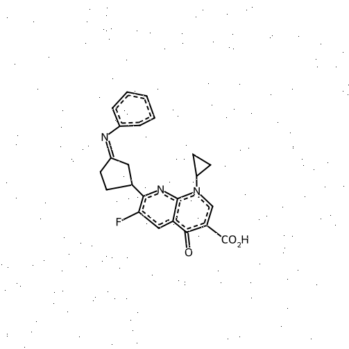 O=C(O)c1cn(C2CC2)c2nc(C3CC/C(=N/c4ccccc4)C3)c(F)cc2c1=O